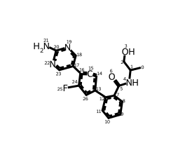 CC(CO)NC(=O)c1ccccc1-c1ccc(-c2cnc(N)nc2)c(F)c1